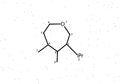 CC(C)C1COCCC(C)C1C